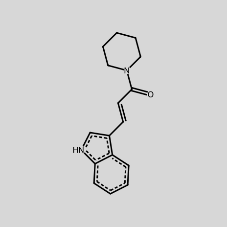 O=C(/C=C/c1c[nH]c2ccccc12)N1CCCCC1